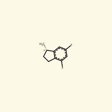 C[C@H]1CCc2c(F)cc(F)cc21